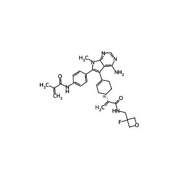 C=C(C)C(=O)Nc1ccc(-c2c(C3=CC[C@@H](C(=C)C(=O)NCC4(F)COC4)CC3)c3c(N)ncnc3n2C)cc1